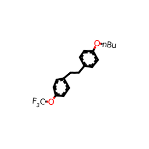 CCCCOc1ccc(CCc2ccc(OC(F)(F)F)cc2)cc1